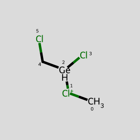 C[Cl+][GeH]([Cl])[CH2]Cl